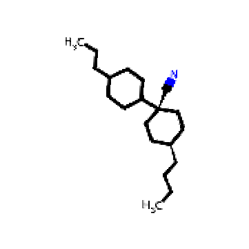 CCCC[C@H]1CC[C@](C#N)(C2CCC(CCC)CC2)CC1